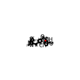 COCC12CCC(CC(N(C)C(=O)c3ccc(C4CC4c4nc(C)nc5sccc45)c(Cl)c3)C1)N2C(=O)O